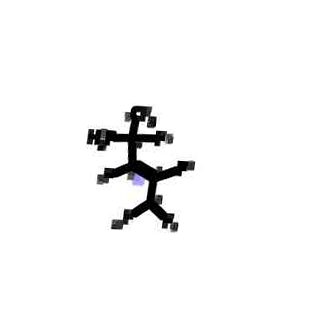 F/C(=C(/F)C(F)(P)C(F)(F)F)C(F)F